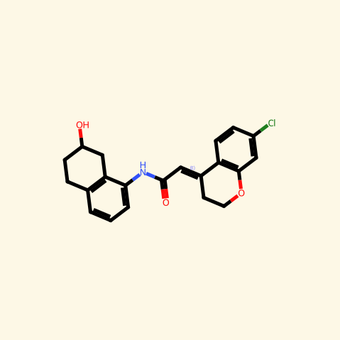 O=C(/C=C1\CCOc2cc(Cl)ccc21)Nc1cccc2c1CC(O)CC2